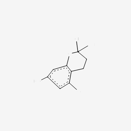 CC1(C)CCc2c(O)cc(O)cc2O1